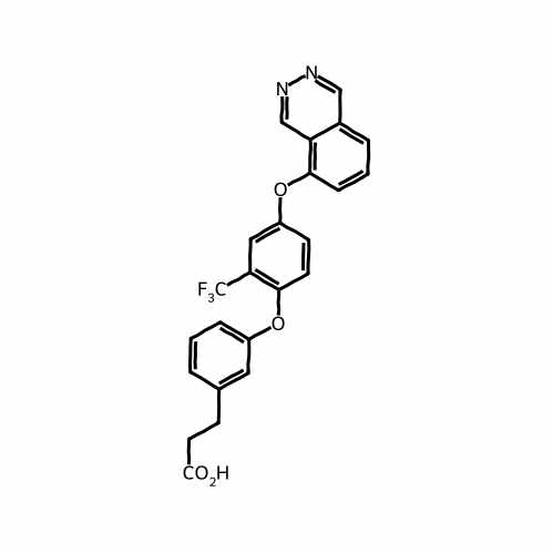 O=C(O)CCc1cccc(Oc2ccc(Oc3cccc4cnncc34)cc2C(F)(F)F)c1